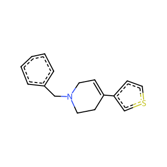 C1=C(c2ccsc2)CCN(Cc2ccccc2)C1